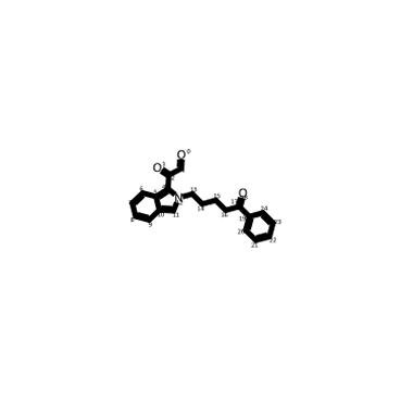 O=CC(=O)c1c2ccccc2cn1CCCCC(=O)c1ccccc1